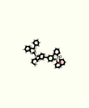 O=P1(c2ccccc2)c2ccccc2-c2cc(-c3ccc4c(c3)c3ccccc3n4-c3nc(-c4ccccc4)c4ccccc4n3)ccc2N1c1ccccc1